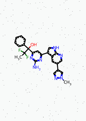 Cn1cc(-c2cnc3[nH]cc(-c4cc(C(O)(c5ccccc5)C(C)(F)F)nc(N)n4)c3c2)cn1